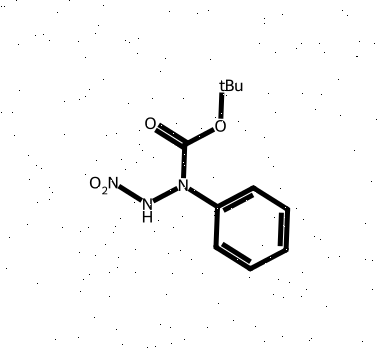 CC(C)(C)OC(=O)N(N[N+](=O)[O-])c1ccccc1